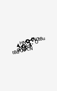 C[S+]([O-])Cc1cc(Nc2cc(N(C(=O)OC(C)(C)C)C3CC3)n3ncc(C#N)c3n2)ccc1C1=CCN(C(=O)OC(C)(C)C)C1